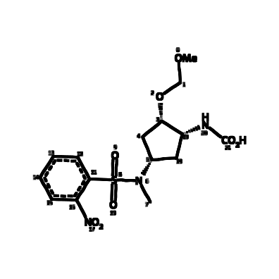 COCO[C@H]1C[C@@H](N(C)S(=O)(=O)c2ccccc2[N+](=O)[O-])C[C@H]1NC(=O)O